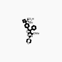 COc1nc(N2CCOCC2)nc2oc(-c3ccc(C4(N(C(=O)O)C(C)(C)C)CCC4)cc3)c(-c3ccccc3)c12